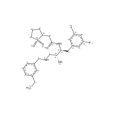 CCc1cccc(CNC[C@@H](O)[C@H](Cc2cc(F)cc(F)c2)NC(=O)CC2CCCS2(=O)=O)c1